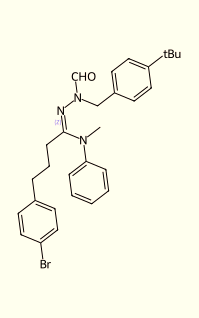 CN(/C(CCCc1ccc(Br)cc1)=N\N(C=O)Cc1ccc(C(C)(C)C)cc1)c1ccccc1